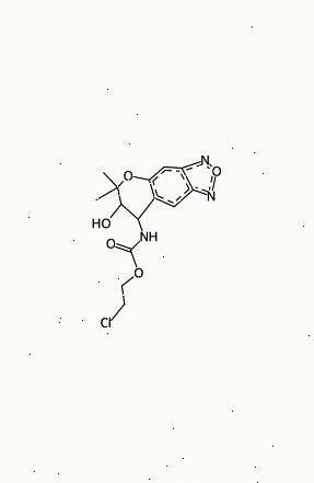 CC1(C)Oc2cc3nonc3cc2C(NC(=O)OCCCl)C1O